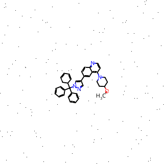 COC1CCN(c2ccnc3ccc(-c4cnn(C(c5ccccc5)(c5ccccc5)C5C=CC=CC5)c4)cc23)CC1